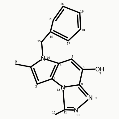 Cc1cc2c(cc(O)c3nnc(C)n32)n1Cc1ccccc1